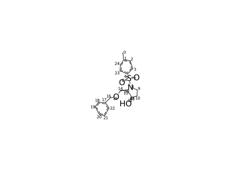 Cc1ccc(S(=O)(=O)N2CC[C@@H](O)[C@H]2COCc2ccccc2)cc1